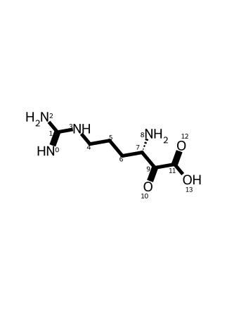 N=C(N)NCCC[C@H](N)C(=O)C(=O)O